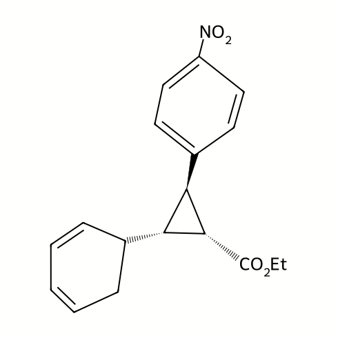 CCOC(=O)[C@H]1[C@H](c2ccc([N+](=O)[O-])cc2)[C@H]1C1C=CC=CC1